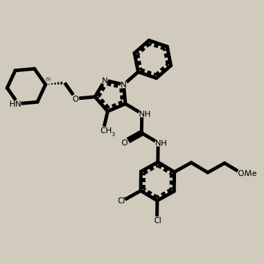 COCCCc1cc(Cl)c(Cl)cc1NC(=O)Nc1c(C)c(OC[C@H]2CCCNC2)nn1-c1ccccc1